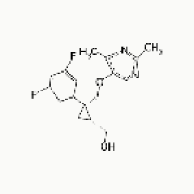 Cc1ncc(OC[C@@]2(C3C=C(F)C=C(F)C3)C[C@H]2CO)c(C)n1